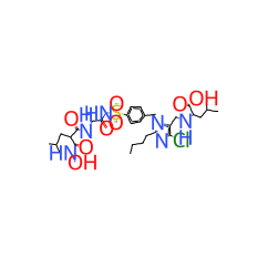 CCCCc1nc(Cl)c(CNC(CC(C)C)C(=O)O)n1Cc1ccc(S(=O)(=O)NC(=O)CNC(=O)C(CC(C)C)C(=O)NO)cc1